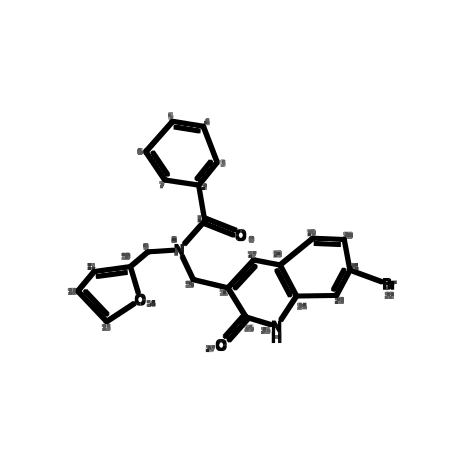 O=C(c1ccccc1)N(Cc1ccco1)Cc1cc2ccc(Br)cc2[nH]c1=O